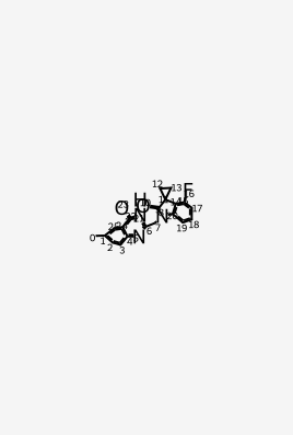 Cc1ccc2nc(CN3C(=O)C4(CC4)c4c(F)cccc43)[nH]c(=O)c2c1